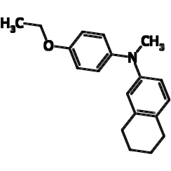 CCOc1ccc(N(C)c2ccc3c(c2)CCCC3)cc1